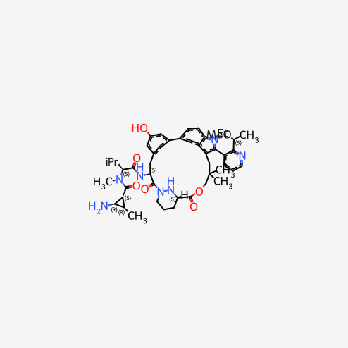 CCn1c(-c2cccnc2[C@H](C)OC)c2c3cc(ccc31)-c1cc(O)cc(c1)C[C@H](NC(=O)[C@H](C(C)C)N(C)C(=O)[C@H]1[C@@H](C)[C@H]1N)C(=O)N1CCC[C@H](N1)C(=O)OCC(C)(C)C2